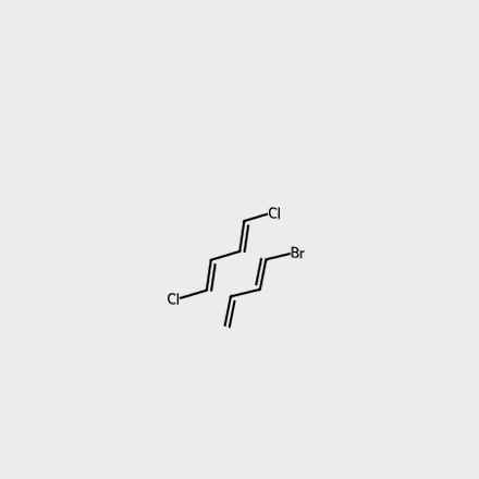 C=CC=CBr.ClC=CC=CCl